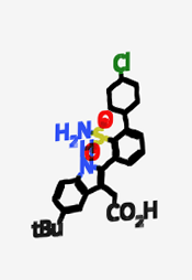 CC(C)(C)c1ccc2[nH]c(-c3cccc(C4CCC(Cl)CC4)c3S(N)(=O)=O)c(CC(=O)O)c2c1